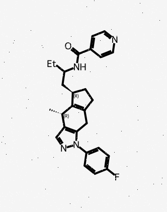 CCC(C[C@H]1CCC2=C1[C@@H](C)c1cnn(-c3ccc(F)cc3)c1C2)NC(=O)c1ccncc1